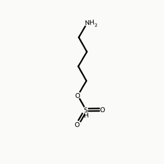 NCCCCO[SH](=O)=O